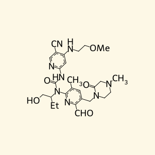 CCC(CO)N(C(=O)Nc1cc(NCCOC)c(C#N)cn1)c1nc(C=O)c(CN2CCN(C)CC2=O)cc1C